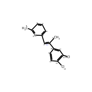 C/C(=C\c1cccc(C)n1)c1ccc(Cl)c(Cl)c1